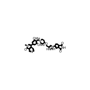 COc1cc(-c2cn(C)c(=O)c3cnccc23)cc(OC)c1CN1CCC(OCC2=CN(c3ccc4c(c3)C(=O)NC4=O)NN2)CC1